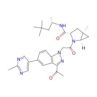 CC(=O)c1nn(CC(=O)N2[C@H](C(=O)N[C@@H](C)CC(C)(C)C)C[C@@]3(C)C[C@@H]23)c2ccc(-c3cnc(C)nc3)cc12